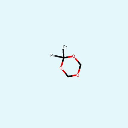 CC(C)C1(C(C)C)OCOCO1